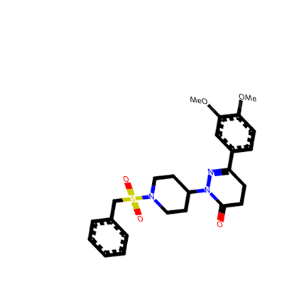 COc1ccc(C2=NN(C3CCN(S(=O)(=O)Cc4ccccc4)CC3)C(=O)CC2)cc1OC